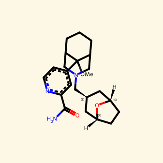 COC1(c2ccnc(C(N)=O)c2)C2CCCC1CN(C[C@@H]1C[C@H]3CC[C@@H](C1)O3)C2